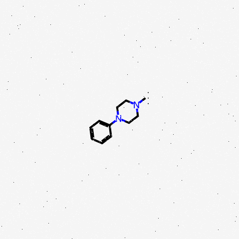 [C]N1CCN(c2ccccc2)CC1